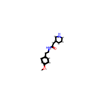 COc1ccc(CCNC(=O)CC2CCCNC2)cc1